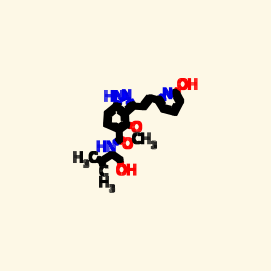 COc1c(C(=O)NC(CO)C(C)C)ccc2[nH]nc(/C=C/c3cccc(O)n3)c12